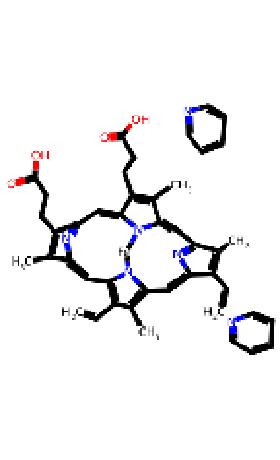 C=CC1=C(C)C2=NC/1=C\c1c(C)c(C=C)c3[n]1[Fe][n]1/c(c(C)c(CCC(=O)O)/c1=C/C1=NC(=C\3)/C(C)=C1CCC(=O)O)=C\2.c1ccncc1.c1ccncc1